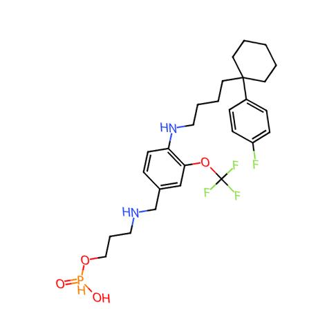 O=[PH](O)OCCCNCc1ccc(NCCCCC2(c3ccc(F)cc3)CCCCC2)c(OC(F)(F)F)c1